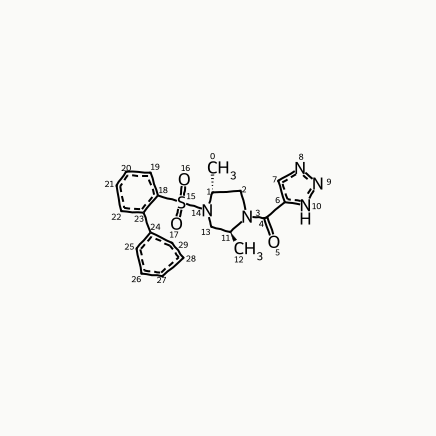 C[C@@H]1CN(C(=O)c2cnn[nH]2)[C@@H](C)CN1S(=O)(=O)c1ccccc1-c1ccccc1